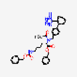 CCCCC(=O)N(Cc1ccc(-c2ccccc2-c2nnn[nH]2)cc1)[C@@H](CCCCNC(=O)OCc1ccccc1)C(=O)OCc1ccccc1